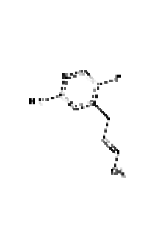 C/C=C/Cc1cc(C)ncc1F